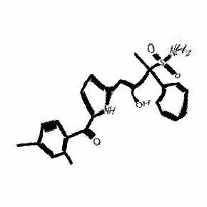 Cc1ccc(C(=O)c2ccc(CC(O)C(C)(c3ccccc3)S(N)(=O)=O)[nH]2)c(C)c1